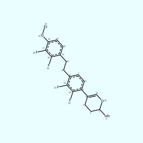 CCCC1CCC(c2ccc(CCc3ccc(OCC)c(F)c3F)c(F)c2F)=CO1